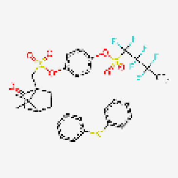 CC1(C)C2CCC1(CS(=O)(=O)Oc1ccc(OS(=O)(=O)C(F)(F)C(F)(F)C(F)(F)C(F)(F)F)cc1)C(=O)C2.c1ccc(Sc2ccccc2)cc1